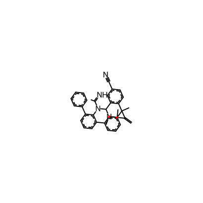 C=C1C2(C)c3ccc(C#N)cc3C(N(C(C)=N)c3c(-c4ccccc4)cccc3-c3ccccc3)N(C)C12C